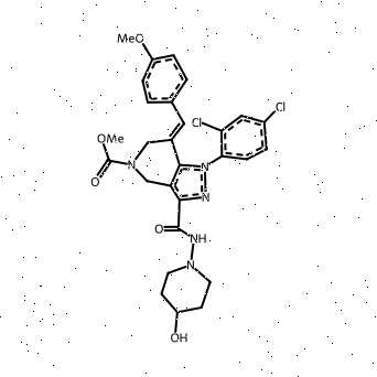 COC(=O)N1CC(=Cc2ccc(OC)cc2)c2c(c(C(=O)NN3CCC(O)CC3)nn2-c2ccc(Cl)cc2Cl)C1